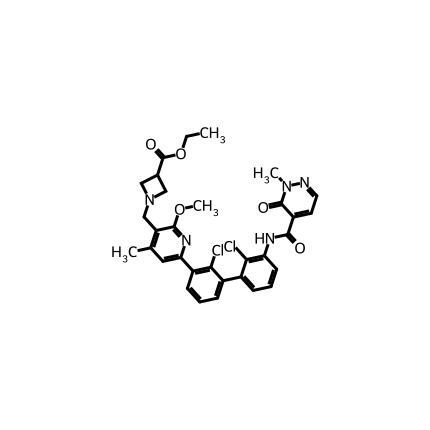 CCOC(=O)C1CN(Cc2c(C)cc(-c3cccc(-c4cccc(NC(=O)c5ccnn(C)c5=O)c4Cl)c3Cl)nc2OC)C1